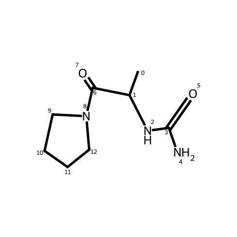 CC(NC(N)=O)C(=O)N1CCCC1